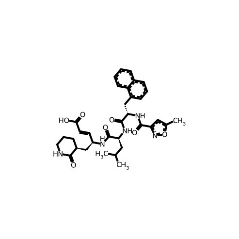 Cc1cc(C(=O)N[C@@H](Cc2cccc3ccccc23)C(=O)N[C@@H](CC(C)C)C(=O)N[C@H](/C=C/C(=O)O)C[C@@H]2CCCNC2=O)no1